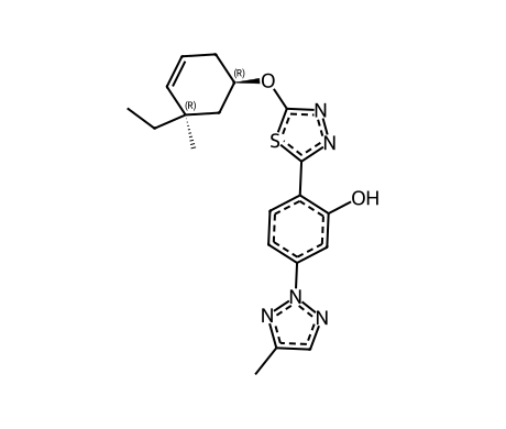 CC[C@@]1(C)C=CC[C@@H](Oc2nnc(-c3ccc(-n4ncc(C)n4)cc3O)s2)C1